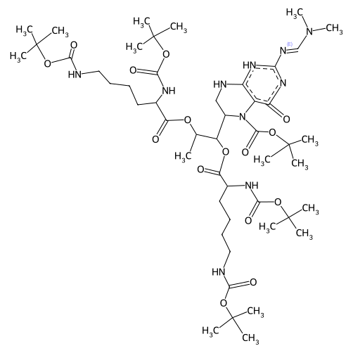 CC(OC(=O)C(CCCCNC(=O)OC(C)(C)C)NC(=O)OC(C)(C)C)C(OC(=O)C(CCCCNC(=O)OC(C)(C)C)NC(=O)OC(C)(C)C)C1CNc2[nH]c(/N=C/N(C)C)nc(=O)c2N1C(=O)OC(C)(C)C